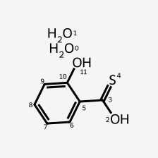 O.O.OC(=S)c1ccccc1O